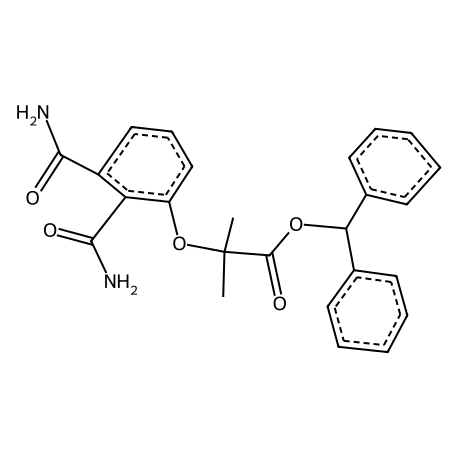 CC(C)(Oc1cccc(C(N)=O)c1C(N)=O)C(=O)OC(c1ccccc1)c1ccccc1